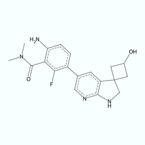 CN(C)C(=O)c1c(N)ccc(-c2cnc3c(c2)C2(CN3)CC(O)C2)c1F